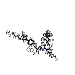 C[C@@H]1[C@H](NC(=O)/C(=N\OC(COc2ccc(-c3cn(CCCN)[n+](C)c3)cc2)C(=O)O)c2csc(N)n2)C(=O)N1S(=O)(=O)[O-]